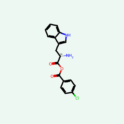 N[C@@H](Cc1c[nH]c2ccccc12)C(=O)OC(=O)c1ccc(Cl)cc1